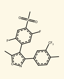 Cc1ccc(-c2noc(C)c2-c2cc(F)c(S(C)(=O)=O)cc2F)cc1C(F)(F)F